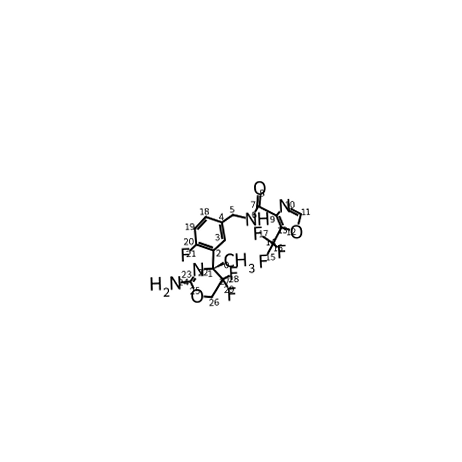 C[C@]1(c2cc(CNC(=O)c3ncoc3C(F)(F)F)ccc2F)N=C(N)OCC1(F)F